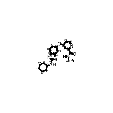 CCCNC(=O)c1cc(Oc2ccc3nc(NC4CCCCC4)sc3c2)ccn1